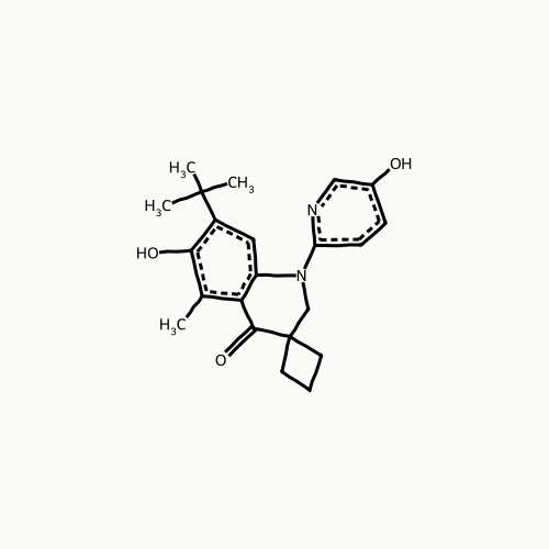 Cc1c(O)c(C(C)(C)C)cc2c1C(=O)C1(CCC1)CN2c1ccc(O)cn1